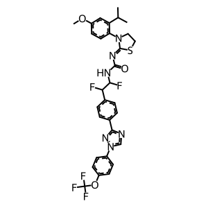 COc1ccc(N2CCS/C2=N\C(=O)NC(F)C(F)c2ccc(-c3ncn(-c4ccc(OC(F)(F)F)cc4)n3)cc2)c(C(C)C)c1